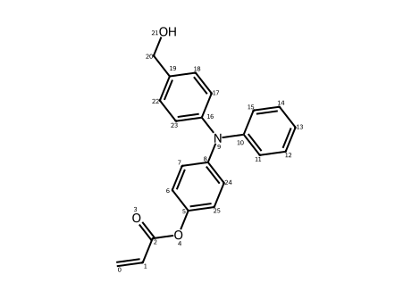 C=CC(=O)Oc1ccc(N(c2ccccc2)c2ccc(CO)cc2)cc1